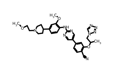 COCCN1CCC(c2ccc(Nc3ncc(-c4ccc(C#N)c(OC(C)Cn5cnnn5)c4)cn3)c(OC)c2)CC1